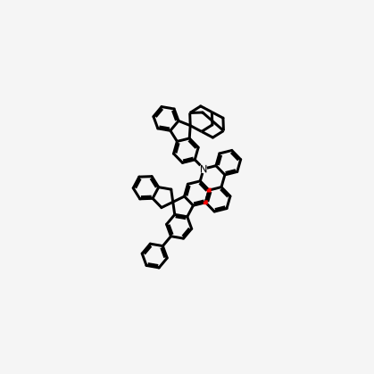 c1ccc(-c2ccc3c(c2)C2(Cc4ccccc4C2)c2cc(N(c4ccc5c(c4)C4(c6ccccc6-5)C5CC6CC(C5)CC4C6)c4ccccc4-c4ccccc4)ccc2-3)cc1